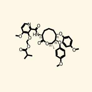 COc1ccc(O[C@H]2[C@H](C)OC(=O)[C@@H](NC(=O)c3nccc(OC)c3OCOC(=O)C(C)C)CCC[C@@H]2Oc2ccc(OC)cc2)cc1